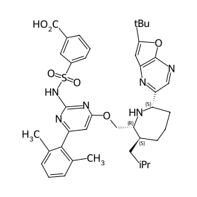 Cc1cccc(C)c1-c1cc(OC[C@@H]2N[C@H](c3cnc4oc(C(C)(C)C)cc4n3)CCC[C@H]2CC(C)C)nc(NS(=O)(=O)c2cccc(C(=O)O)c2)n1